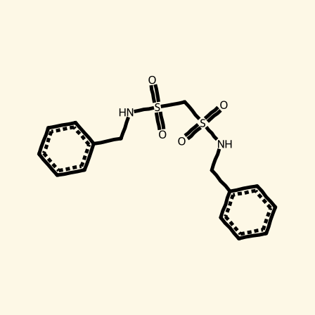 O=S(=O)(CS(=O)(=O)NCc1ccccc1)NCc1ccccc1